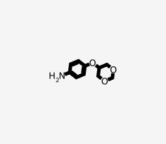 Nc1ccc(OC2COCOC2)cc1